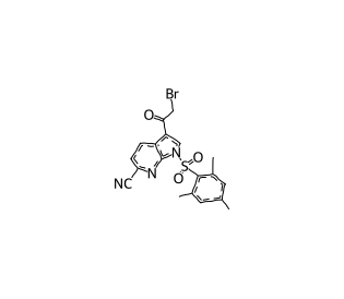 Cc1cc(C)c(S(=O)(=O)n2cc(C(=O)CBr)c3ccc(C#N)nc32)c(C)c1